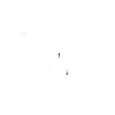 CCCCCC(=O)N[C@@H](CN1CCC(O)CC1)[C@H](O)c1ccccc1